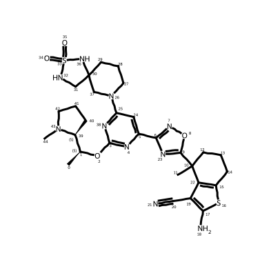 C[C@H](Oc1nc(-c2noc(C3(C)CCCc4sc(N)c(C#N)c43)n2)cc(N2CCCC3(CNS(=O)(=O)N3)C2)n1)[C@@H]1CCCN1C